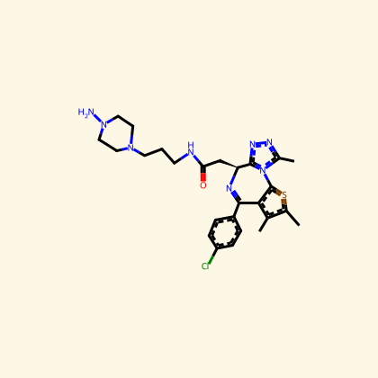 Cc1sc2c(c1C)C(c1ccc(Cl)cc1)=N[C@@H](CC(=O)NCCCN1CCN(N)CC1)c1nnc(C)n1-2